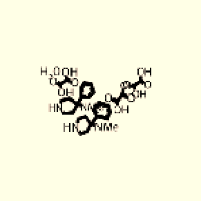 CNC1(c2ccccc2)CCNCC1.CNC1(c2ccccc2)CCNCC1.O.O=C(O)C(=O)O.O=C(O)C(=O)O.O=C(O)C(=O)O